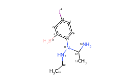 Bc1cc(I)ccc1N(NCC)C(C)N